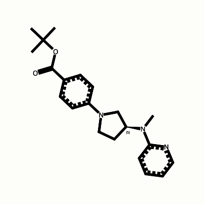 CN(c1ccccn1)[C@H]1CCN(c2ccc(C(=O)OC(C)(C)C)cc2)C1